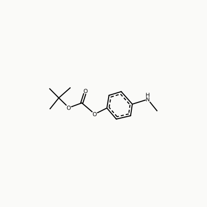 CNc1ccc(OC(=O)OC(C)(C)C)cc1